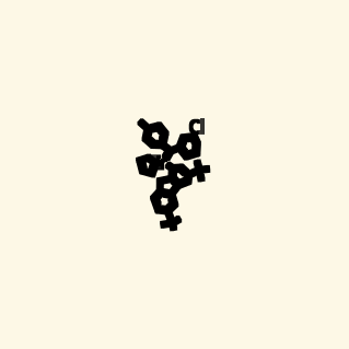 Cc1ccc(/[C](c2cccc(Cl)c2)=[Zr](\[C]2=CC=CC2)[c]2cc(C(C)(C)C)cc3c2Cc2ccc(C(C)(C)C)cc2-3)cc1